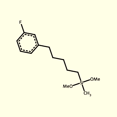 CO[Si](C)(CCCCCc1cccc(F)c1)OC